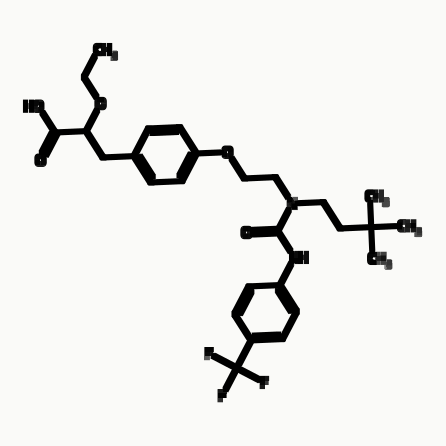 CCOC(Cc1ccc(OCCN(CCC(C)(C)C)C(=O)Nc2ccc(C(F)(F)F)cc2)cc1)C(=O)O